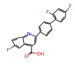 O=C(O)c1cc(-c2ccc(-c3ccc(F)cc3F)cc2)nc2ccc(F)cc12